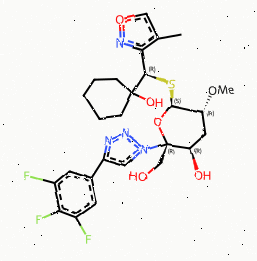 CO[C@@H]1C[C@@H](O)[C@](CO)(n2cc(-c3cc(F)c(F)c(F)c3)nn2)O[C@H]1S[C@H](c1nocc1C)C1(O)CCCCC1